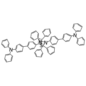 c1ccc(N(c2ccccc2)c2ccc(-c3ccc(N4[Si](c5ccccc5)(c5ccccc5)N(c5ccc(-c6ccc(N(c7ccccc7)c7ccccc7)cc6)cc5)[Si]4(c4ccccc4)c4ccccc4)cc3)cc2)cc1